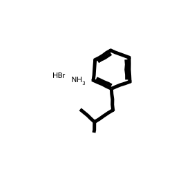 Br.CC(C)Cc1ccccc1.N